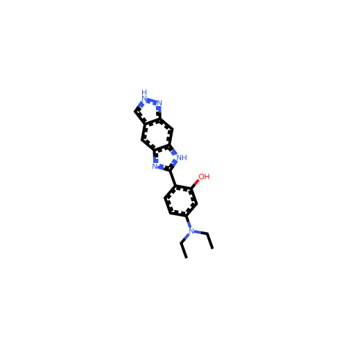 CCN(CC)c1ccc(-c2nc3cc4c[nH]nc4cc3[nH]2)c(O)c1